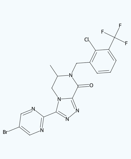 CC1Cn2c(nnc2-c2ncc(Br)cn2)C(=O)N1Cc1cccc(C(F)(F)F)c1Cl